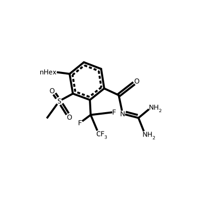 CCCCCCc1ccc(C(=O)N=C(N)N)c(C(F)(F)C(F)(F)F)c1S(C)(=O)=O